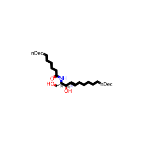 CCCCCCCCCCCCCCC/C=C/[C@@H](O)[C@H](CO)NC(=O)CCCCCCCCCCCCCCC